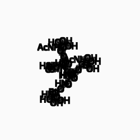 CCNC1C(OCCOCCNC(=O)CCC(NC(=O)CCC(NC(=O)[C@H]2CC[C@@H](OP(=O)(S)C(C)C)CC2)C(=O)NCCOCCOC2OC(CO)C(O)C(O)C2NC(C)=O)C(=O)NCCOCCOC2OC(CO)C(O)C(O)C2NC(C)=O)OC(CO)C(O)C1O